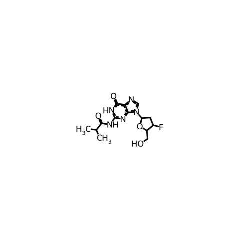 CC(C)C(=O)Nc1nc2c(ncn2C2CC(F)C(CO)O2)c(=O)[nH]1